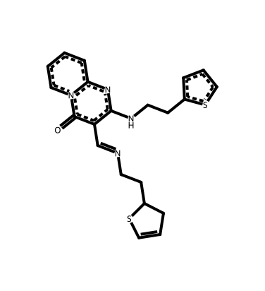 O=c1c(/C=N/CCC2CC=CS2)c(NCCc2cccs2)nc2ccccn12